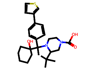 CC(C)(C)C1CN(C(=O)O)CCN1C(C)(c1ccc(-c2ccsc2)cc1)C1(O)CCCCC1